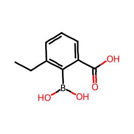 CCc1cccc(C(=O)O)c1B(O)O